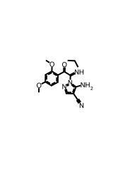 CCC.COc1ccc(C(=O)C(=N)n2ncc(C#N)c2N)c(OC)c1